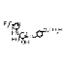 O=C(O)COc1ccc(COC[C@H]2OC[C@H](Nc3cncc(C(F)(F)F)n3)[C@@H](O)[C@H]2O)cc1